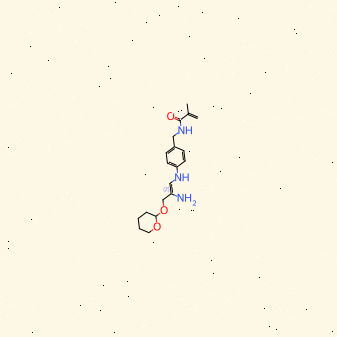 C=C(C)C(=O)NCc1ccc(N/C=C(\N)COC2CCCCO2)cc1